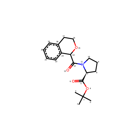 CC(C)(C)OC(=O)[C@@H]1CCCN1C(=O)C1OCCc2ccccc21